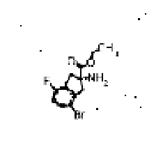 CCOC(=O)C1(N)Cc2c(F)ccc(Br)c2C1